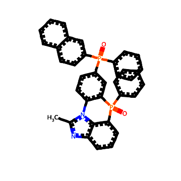 Cc1nc2cccc3c2n1-c1ccc(P(=O)(c2ccccc2)c2ccc4ccccc4c2)cc1P3(=O)c1ccccc1